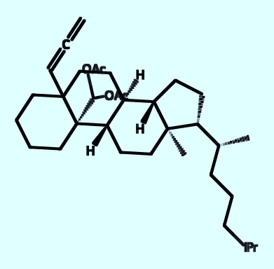 C=C=CC12CCCC[C@]1(C(OC(C)=O)OC(C)=O)[C@H]1CC[C@]3(C)[C@@H]([C@H](C)CCCC(C)C)CC[C@H]3[C@@H]1CC2